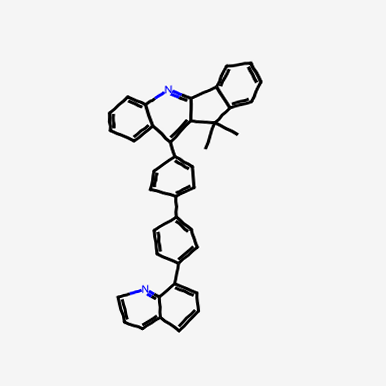 CC1(C)c2ccccc2-c2nc3ccccc3c(-c3ccc(-c4ccc(-c5cccc6cccnc56)cc4)cc3)c21